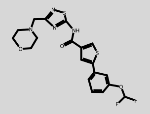 O=C(Nc1nc(CN2CCOCC2)ns1)c1csc(-c2cccc(OC(F)F)c2)c1